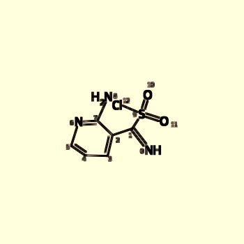 N=C(c1cccnc1N)S(=O)(=O)Cl